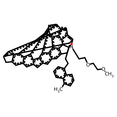 COCCOCCN1CC2C3=c4c5c6c7c(cc8cc9cc%10cc%11cc%12c%13c(c4c4c5c5c7c8c7c9c%10c8c%11c%13c4c8c75)=C(C3)C%12)CC62C1CCc1cccc2c(C)cccc12